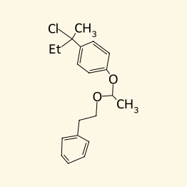 CCC(C)(Cl)c1ccc(OC(C)OCCc2ccccc2)cc1